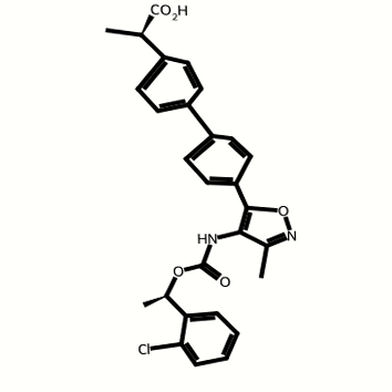 Cc1noc(-c2ccc(-c3ccc([C@@H](C)C(=O)O)cc3)cc2)c1NC(=O)O[C@H](C)c1ccccc1Cl